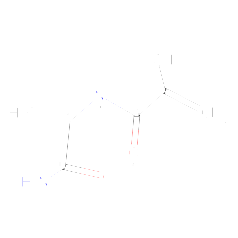 C=C(C)C(=O)N[C@@H](C)C(N)=O